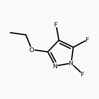 CCOc1nn(F)c(F)c1F